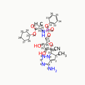 CC1C=C2C(N)=NC=NN2C1[C@]1(C#N)O[C@H](COP(=O)(N[C@@H](C)C(=O)OC2CCCCC2)Oc2ccccc2)[C@@H](O)[C@H]1O